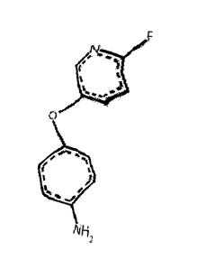 Nc1ccc(Oc2ccc(F)nc2)cc1